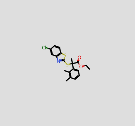 CCOC(=O)C(C)(Sc1nc2cc(Cl)ccc2s1)c1cccc(C)c1C